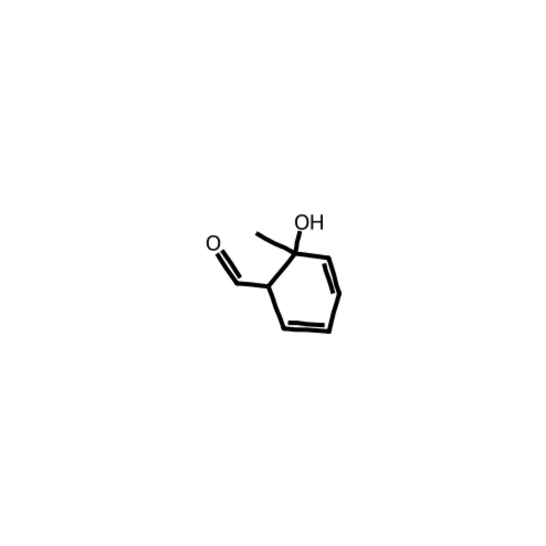 CC1(O)C=CC=CC1C=O